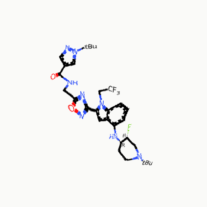 CC(C)(C)N1CC[C@@H](Nc2cccc3c2cc(-c2noc(CNC(=O)c4cnn(C(C)(C)C)c4)n2)n3CC(F)(F)F)[C@H](F)C1